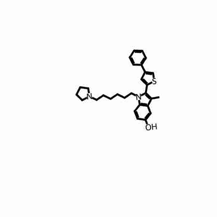 Cc1c(-c2cc(-c3ccccc3)cs2)n(CCCCCCN2CCCC2)c2ccc(O)cc12